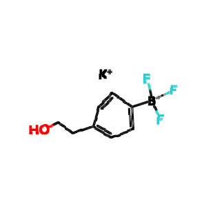 OCCc1ccc([B-](F)(F)F)cc1.[K+]